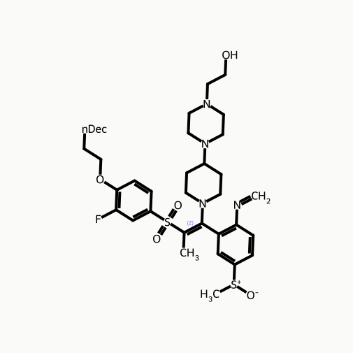 C=Nc1ccc([S+](C)[O-])cc1/C(=C(\C)S(=O)(=O)c1ccc(OCCCCCCCCCCCC)c(F)c1)N1CCC(N2CCN(CCO)CC2)CC1